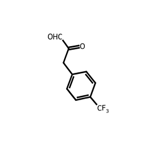 O=CC(=O)Cc1ccc(C(F)(F)F)cc1